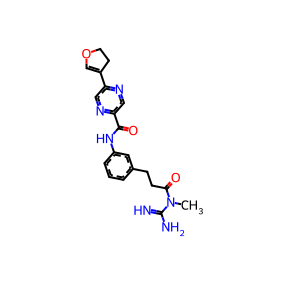 CN(C(=N)N)C(=O)CCc1cccc(NC(=O)c2cnc(C3=COCC3)cn2)c1